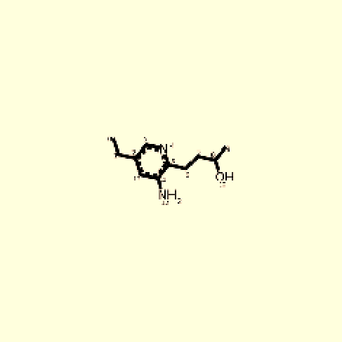 CCc1cnc(CCC(C)O)c(N)c1